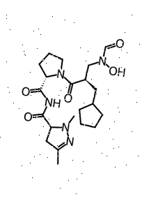 CC1=NN(C)C(C(=O)NC(=O)[C@@H]2CCCN2C(=O)[C@H](CC2CCCC2)CN(O)C=O)C1